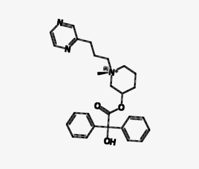 C[N@@+]1(CCCc2cnccn2)CCCC(OC(=O)C(O)(c2ccccc2)c2ccccc2)C1